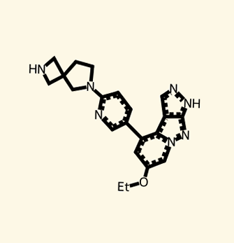 CCOc1cc(-c2ccc(N3CCC4(CNC4)C3)nc2)c2c3cn[nH]c3nn2c1